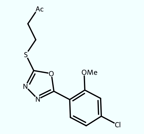 COc1cc(Cl)ccc1-c1nnc(SCCC(C)=O)o1